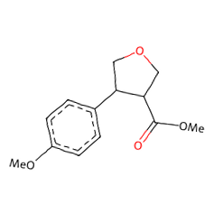 COC(=O)C1COCC1c1ccc(OC)cc1